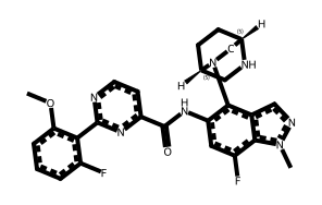 COc1cccc(F)c1-c1nccc(C(=O)Nc2cc(F)c3c(cnn3C)c2N2C[C@@H]3CC[C@H]2CN3)n1